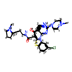 CN1CCN(c2ncc3c(=O)c(C(=O)NCCC4CCCN4C)c4sc5ccc(Cl)cc5n4c3n2)CC1